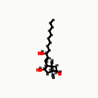 CCCCCCCCCC(O)C=CC1C(O)C[C@@H]2C(=O)C[C@@H]12